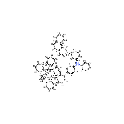 c1ccc(N(c2ccc(-c3ccc4c(c3)C3(c5ccccc5-4)c4ccccc4C4(c5ccccc5-c5ccccc54)c4ccccc43)cc2)c2cccc(-c3ccc4ccc5ccccc5c4c3)c2)cc1